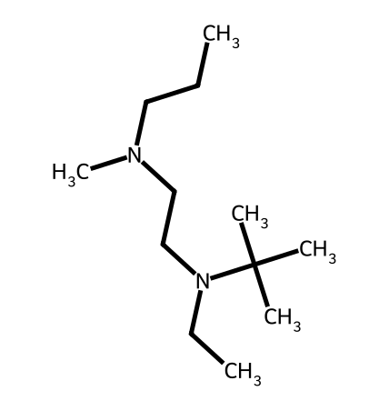 CCCN(C)CCN(CC)C(C)(C)C